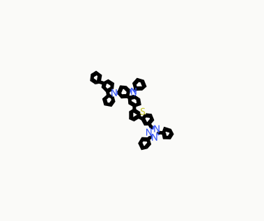 C1=CC2c3cc(-c4ccccc4)ccc3N(c3ccc4c(c3)c3cc(-c5cccc6c5sc5ccc(-c7nc(-c8ccccc8)nc(-c8ccccc8)n7)cc56)ccc3n4-c3ccccc3)C2C=C1